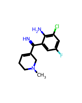 CN1CCC=C(C(=N)c2cc(F)cc(Cl)c2N)C1